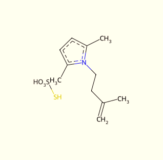 C=C(C)CCn1c(C)ccc1C.O=S(=O)(O)S